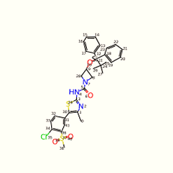 Cc1nc(NC(=O)N2CC(O[Si](c3ccccc3)(c3ccccc3)C(C)(C)C)C2)sc1-c1ccc(Cl)c(S(C)(=O)=O)c1